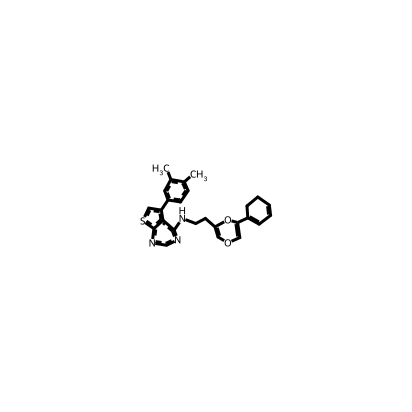 Cc1ccc(-c2csc3ncnc(NCCC4=COC=C(C5=CC=CCC5)O4)c23)cc1C